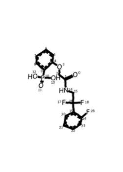 O=C(COc1ccccc1P(=O)(O)O)NCC(F)(F)c1ccccc1F